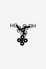 O=C(OCCO)c1cc(C(=O)OCCO)cc(S(=O)(=O)[O-])c1.c1ccc([P+](c2ccccc2)(c2ccccc2)c2ccccc2)cc1